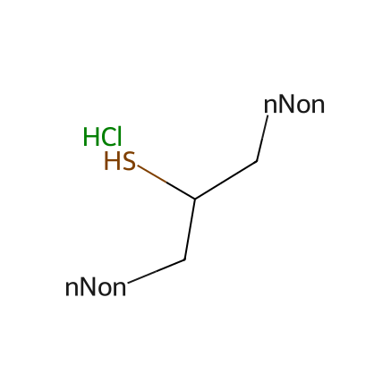 CCCCCCCCCCC(S)CCCCCCCCCC.Cl